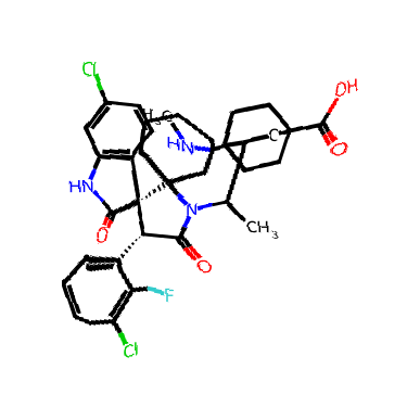 CNC12CCC(C(=O)O)(CC1)CC2C(C)N1C(=O)[C@H](c2cccc(Cl)c2F)[C@]2(C(=O)Nc3cc(Cl)ccc32)C12CCCCC2